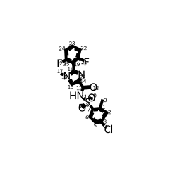 Cc1cc(Cl)ccc1S(=O)(=O)NC(=O)c1cn(C)c(-c2c(F)cccc2F)n1